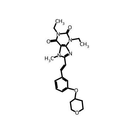 CCn1c(=O)c2c(nc(/C=C/c3cccc(OC4CCOCC4)c3)n2C)n(CC)c1=O